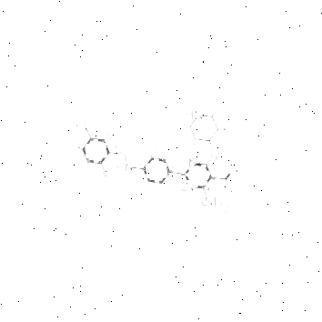 CC(=N)c1c(N)nc(-c2ccc(NSc3cc(Cl)ccc3F)cc2)nc1OC1CCNCC1